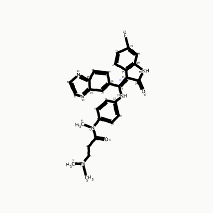 CN(C)CCC(=O)N(C)c1ccc(N/C(=C2\C(=O)Nc3cc(F)ccc32)c2ccc3nccnc3c2)cc1